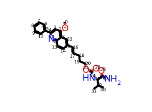 COc1cc(-c2ccccc2)nc2ccc(/C=C/CCCOC(=O)N[C@H](C(N)=O)C(C)C)cc12